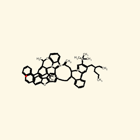 C=C1CC2C(CCc3cc4oc5ccc(-c6ccccc6)cc5c4cc3-c3n(-c4c(C(C)C)cc(-c5ccccc5)cc4C(C)C)c4ccccc4[n+]31)c1ccccc1-c1cc(CC(CC)CCC)c([Si](C)(C)C)c[n+]12